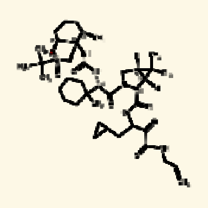 C=CCNC(=O)C(=O)C(CC1CC1)NC(=O)[C@@H]1[C@@H]2[C@H](CN1C(=O)[C@@H](NC(=O)N[C@@]1(CS(=O)(=O)C(C)(C)C)[C@H](C)CCC[C@@H]1C)C1(C)CCCCC1)C2(C)C